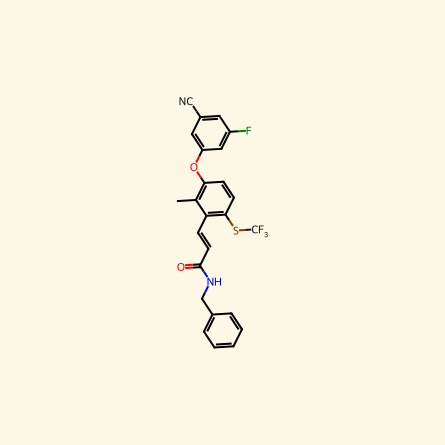 Cc1c(Oc2cc(F)cc(C#N)c2)ccc(SC(F)(F)F)c1/C=C/C(=O)NCc1ccccc1